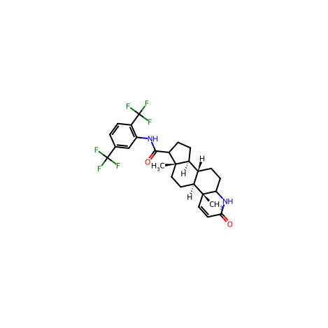 C[C@]12C=CC(=O)NC1CC[C@@H]1[C@@H]2CC[C@]2(C)C(C(=O)Nc3cc(C(F)(F)F)ccc3C(F)(F)F)CC[C@@H]12